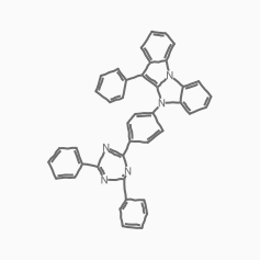 c1ccc(-c2nc(-c3ccccc3)nc(-c3ccc(-n4c5ccccc5n5c6ccccc6c(-c6ccccc6)c45)cc3)n2)cc1